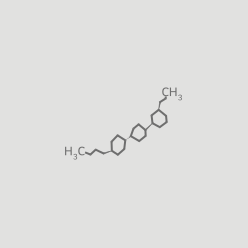 CCCC[C@H]1CC[C@H](C2CCC([C@@H]3CCC[C@H](CCC)C3)CC2)CC1